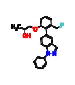 CC(O)COc1cccc(CF)c1-c1ccc2c(cnn2-c2ccccc2)c1